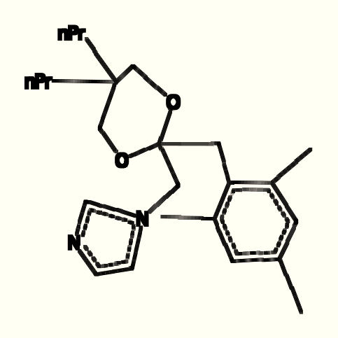 CCCC1(CCC)COC(Cc2c(C)cc(C)cc2C)(Cn2ccnc2)OC1